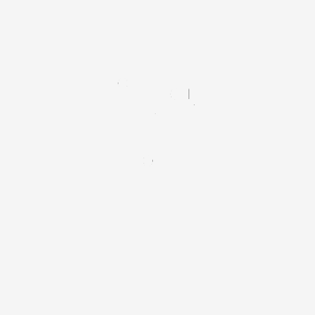 C=C(C=O)COc1ccccc1